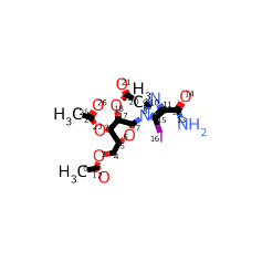 CC(=O)OCC1OC(n2cnc(C(N)=O)c2I)C(OC(C)=O)C1OC(C)=O